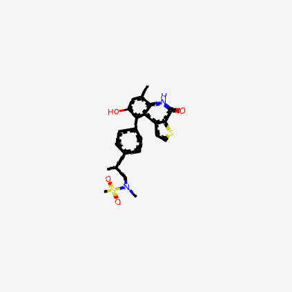 Cc1cc(O)c(-c2ccc(C(C)CN(C)S(C)(=O)=O)cc2)c2c1[nH]c(=O)c1sccc12